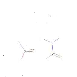 CCN(CC)C(O)=S.NC(O)=S.O.O.[NaH]